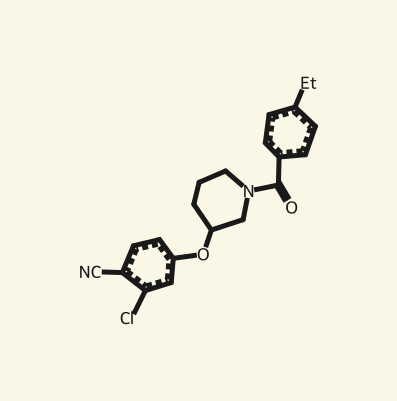 CCc1ccc(C(=O)N2CCCC(Oc3ccc(C#N)c(Cl)c3)C2)cc1